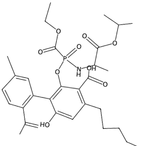 C=C(C)c1ccc(C)cc1-c1c(O)cc(CCCCC)c(C(=O)O)c1OP(=O)(NC(C)C(=O)OC(C)C)C(=O)OCC